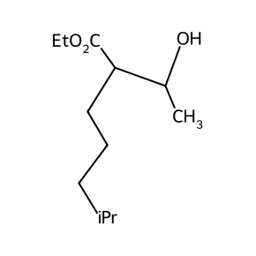 CCOC(=O)C(CCCC(C)C)C(C)O